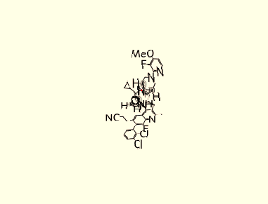 COc1ccnc(N2C[C@@H]3C[C@H](C2)N(C(=O)C2CC2)[C@H]3c2cc3c(C)nc4c(F)c(-c5cccc(Cl)c5Cl)c(CCC#N)cc4c3n2[C@H]2[C@H]3CN[C@@H]2C3)c1F